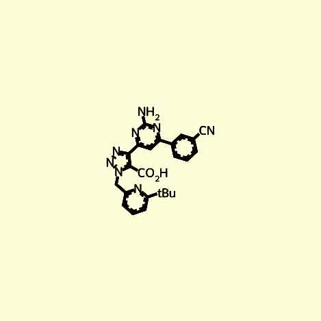 CC(C)(C)c1cccc(Cn2nnc(-c3cc(-c4cccc(C#N)c4)nc(N)n3)c2C(=O)O)n1